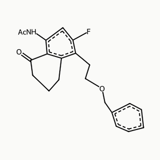 CC(=O)Nc1cc(F)c(CCOCc2ccccc2)c2c1C(=O)CCC2